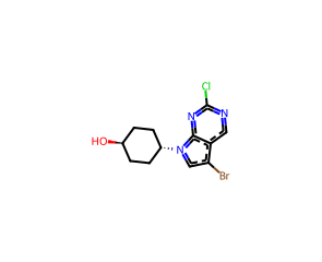 O[C@H]1CC[C@H](n2cc(Br)c3cnc(Cl)nc32)CC1